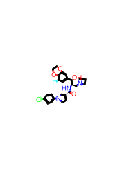 O=C(N[C@H](CN1CCC1)[C@H](O)c1cc(F)c2c(c1)OCCO2)[C@@H]1CCN(c2ccc(Cl)cc2)C1